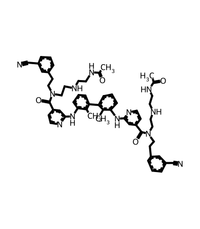 CC(=O)NCCNCCN(CCc1cccc(C#N)c1)C(=O)c1ccnc(Nc2cccc(-c3cccc(Nc4cc(C(=O)N(CCNCCNC(C)=O)CCc5cccc(C#N)c5)ccn4)c3C)c2C)c1